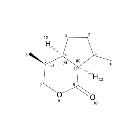 CC1CC[C@@H]2[C@H](C)COC(=O)[C@H]12